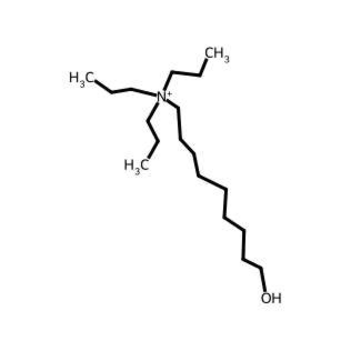 CCC[N+](CCC)(CCC)CCCCCCCCCO